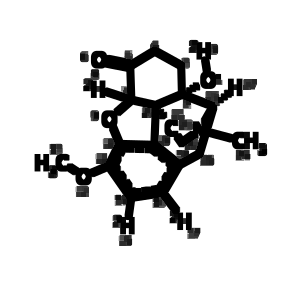 [2H]O[C@@]12CCC(=O)C3([2H])Oc4c(OC)c([2H])c([2H])c5c4[C@@]31CCN(C)[C@@H]2C5